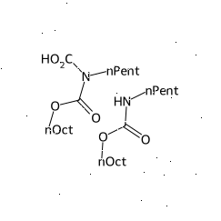 CCCCCCCCOC(=O)N(CCCCC)C(=O)O.CCCCCCCCOC(=O)NCCCCC